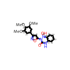 COc1cc(-c2cc(N3C(=O)Nc4ccccc4N3O)on2)cc(OC)c1OC